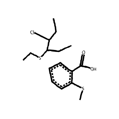 CCSC(CC)C(Cl)CC.CSc1ccccc1C(=O)O